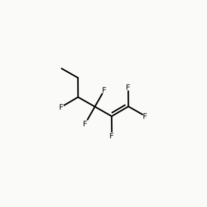 CCC(F)C(F)(F)C(F)=C(F)F